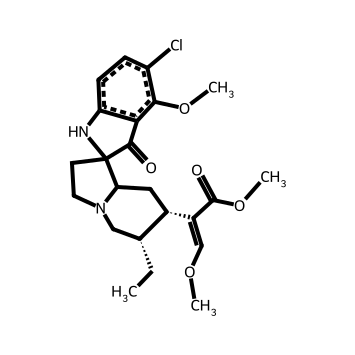 CC[C@@H]1CN2CCC3(Nc4ccc(Cl)c(OC)c4C3=O)C2C[C@@H]1/C(=C\OC)C(=O)OC